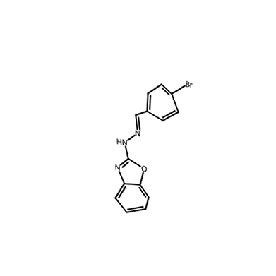 Brc1ccc(C=NNc2nc3ccccc3o2)cc1